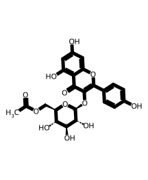 CC(=O)OC[C@H]1O[C@@H](Oc2c(-c3ccc(O)cc3)oc3cc(O)cc(O)c3c2=O)[C@H](O)[C@@H](O)[C@@H]1O